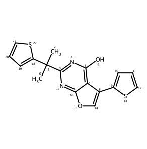 CC(C)(c1nc(O)c2c(-c3cccs3)coc2n1)c1cccs1